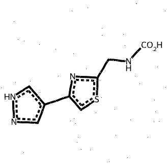 O=C(O)NCc1nc(-c2cn[nH]c2)cs1